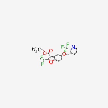 CCOC(=O)c1c(C(F)F)oc2ccc(OCc3cccnc3C(F)(F)F)cc12